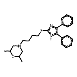 CC1CN(CCCCSc2nc(-c3ccccc3)c(-c3ccccc3)[nH]2)CC(C)O1